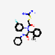 Cc1ccccc1C(C(=O)NC1CCCCC1)N(C(=O)CSC(=N)N)c1cccc(F)c1